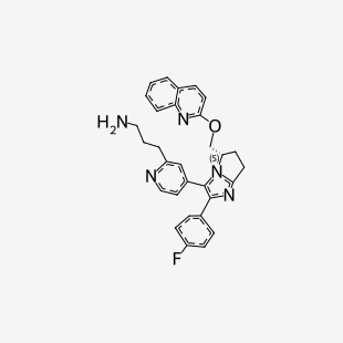 NCCCc1cc(-c2c(-c3ccc(F)cc3)nc3n2[C@H](COc2ccc4ccccc4n2)CC3)ccn1